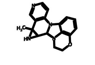 CC12NC1C1N3CCOc4cccc(c43)N1c1ccncc12